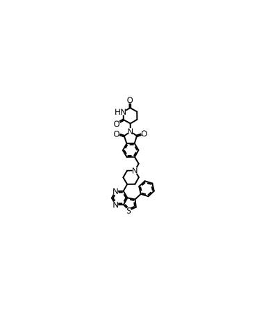 O=C1CCC(N2C(=O)c3ccc(CN4CCC(c5ncnc6scc(-c7ccccc7)c56)CC4)cc3C2=O)C(=O)N1